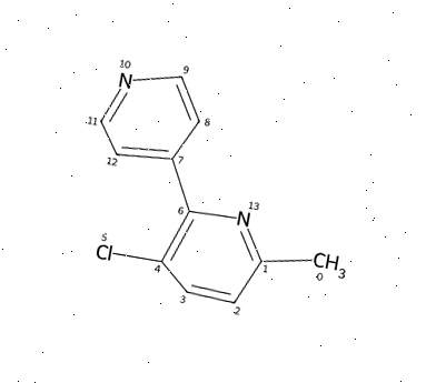 Cc1ccc(Cl)c(-c2ccncc2)n1